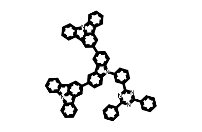 c1ccc(-c2nc(-c3ccccc3)nc(-c3cccc(-n4c5ccc(-c6cc7c8ccccc8n8c9ccccc9c(c6)c78)cc5c5cc(-c6cc7c8ccccc8n8c9ccccc9c(c6)c78)ccc54)c3)n2)cc1